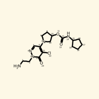 NCCn1ncc(N2CCC(OC(=O)NC3CCCC3)C2)c(Cl)c1=O